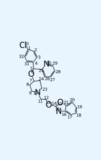 Clc1ccc(C(OC2CCN(CCOc3nc4ccccc4o3)CC2)c2ccccn2)cc1